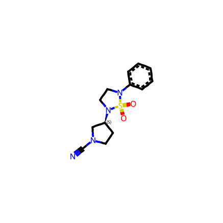 N#CN1CC[C@H](N2CCN(c3ccccc3)S2(=O)=O)C1